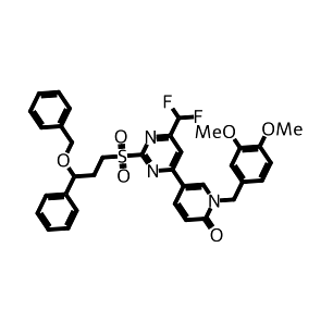 COc1ccc(Cn2cc(-c3cc(C(F)F)nc(S(=O)(=O)CCC(OCc4ccccc4)c4ccccc4)n3)ccc2=O)cc1OC